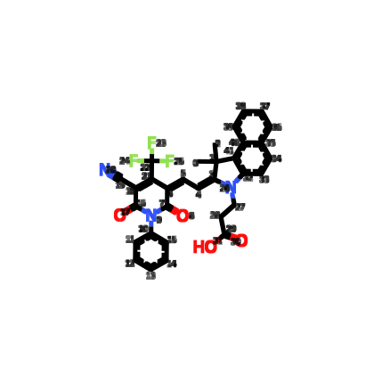 CC1(C)/C(=C\C=C2/C(=O)N(c3ccccc3)C(=O)C(C#N)=C2C(F)(F)F)N(CCC(=O)O)c2ccc3ccccc3c21